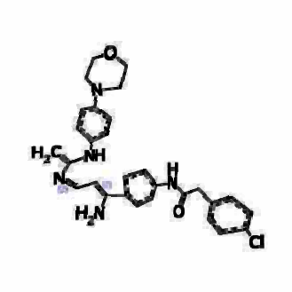 C=C(/N=C\C=C(/N)c1ccc(NC(=O)Cc2ccc(Cl)cc2)cc1)Nc1ccc(N2CCOCC2)cc1